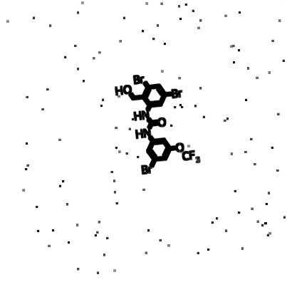 O=C(Nc1cc(Br)cc(OC(F)(F)F)c1)Nc1cc(Br)cc(Br)c1CO